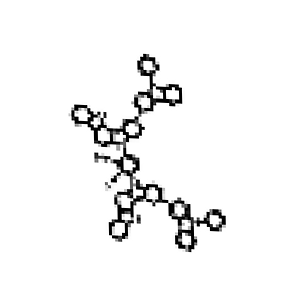 N#Cc1c(-n2c3ccc(-c4ccc5c(c4)c4ccccc4n5-c4ccccc4)cc3c3c4oc5ccccc5c4ccc32)ccc(-n2c3ccc(-c4ccc5c(c4)c4ccccc4n5-c4ccccc4)cc3c3c4oc5ccccc5c4ccc32)c1C#N